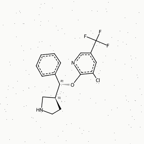 FC(F)(F)c1cnc(O[C@@H](c2ccccc2)[C@H]2CCNC2)c(Cl)c1